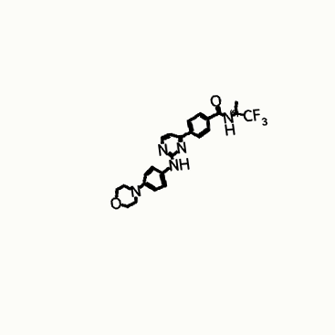 C[C@H](NC(=O)c1ccc(-c2ccnc(Nc3ccc(N4CCOCC4)cc3)n2)cc1)C(F)(F)F